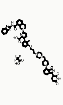 Cc1c(OCCCN2CCN(CC3CCN(c4cccc5c(C6CCC(=O)NC6=O)nn(C)c45)CC3)CC2)cccc1-c1ccc(N2CCc3cccc(C(=O)Nc4nc5ccccc5s4)c3C2)nc1C(=O)O.O=C(O)C(F)(F)F